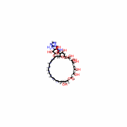 C[C@@H]1[C@H](O)[C@@H](C)/C=C/C=C/C=C/C=C/C=C/C=C/C=C/[C@H](O[C@@H]2O[C@H](C)[C@@H](O)[C@H](N)[C@@H]2O)C[C@@H]2O[C@](O)(C[C@@H](O)C[C@@H](O)[C@H](O)CC[C@@H](O)C[C@@H](O)CC(=O)O[C@H]1C)C[C@H](O)[C@H]2C(=O)NCCn1cncn1